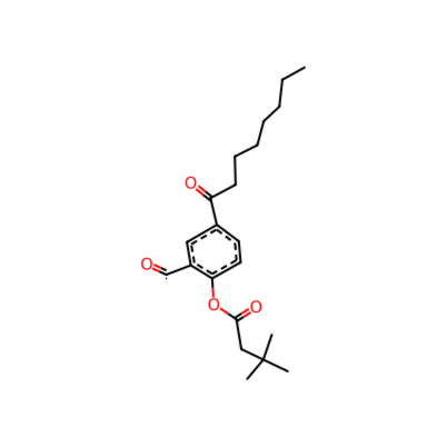 CCCCCCCC(=O)c1ccc(OC(=O)CC(C)(C)C)c([C]=O)c1